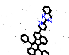 c1ccc(-c2c3c(c(-c4ccccc4)c4ccccc24)-c2ccc(-c4ccc(-c5ncc6ccccc6n5)nc4)c4cccc-3c24)cc1